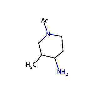 CC(=O)N1CCC(N)C(C)C1